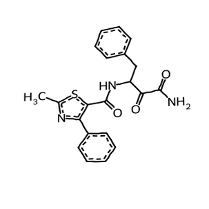 Cc1nc(-c2ccccc2)c(C(=O)NC(Cc2ccccc2)C(=O)C(N)=O)s1